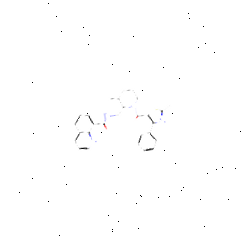 Cc1nc(-c2ccccc2)c(C(=O)N2CCCC(C)C2CNC(=O)c2cccc3cccnc23)s1